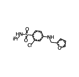 CC(C)NS(=O)(=O)c1ccc(NCc2ccco2)cc1Cl